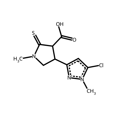 CN1CC(c2cc(Cl)n(C)n2)C(C(=O)O)C1=S